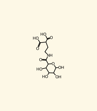 O=C(O)C(CCNC(=O)C1OC(O)C(O)C(O)C1O)C(=O)O